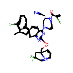 C=C(F)C(=O)N1CCN(c2nc(OCC34CCCN3CC(F)(F)C4)nc3c2CC[C@]2(C=C(C)c4c(Cl)cccc42)C3)C[C@@H]1CC#N